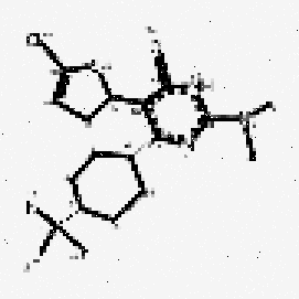 CN(C)c1nc([C@H]2CC[C@@H](C(F)(F)F)CC2)c(C2CC=C(Cl)S2)c(=O)[nH]1